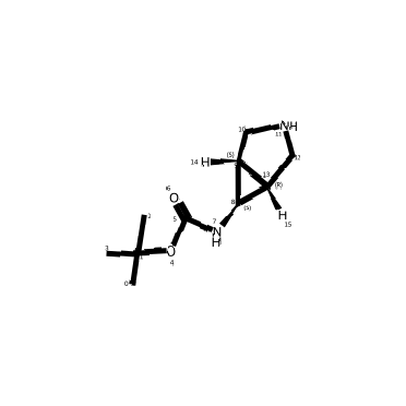 CC(C)(C)OC(=O)N[C@H]1[C@@H]2CNC[C@@H]21